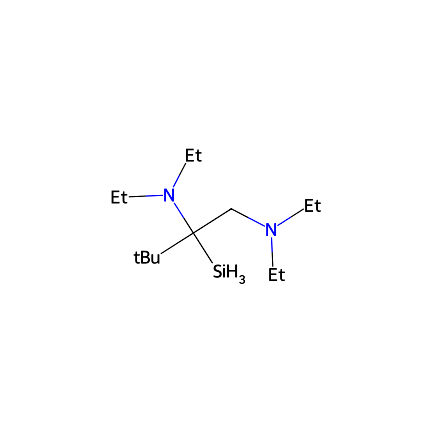 CCN(CC)CC([SiH3])(N(CC)CC)C(C)(C)C